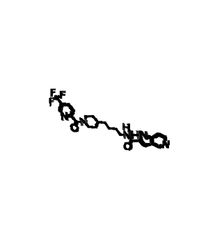 O=C(NCCCCC1CCN(C(=O)c2ccc(C(F)(F)F)cn2)CC1)c1cc2cnccc2[nH]1